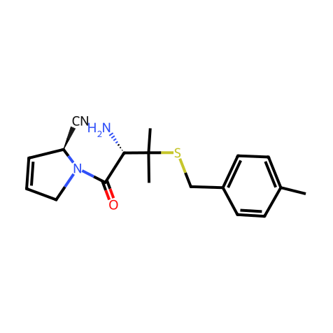 Cc1ccc(CSC(C)(C)[C@@H](N)C(=O)N2CC=C[C@H]2C#N)cc1